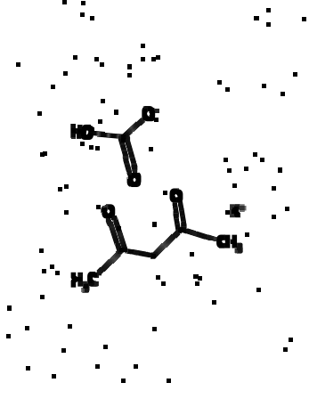 CC(=O)CC(C)=O.O=C([O-])O.[K+]